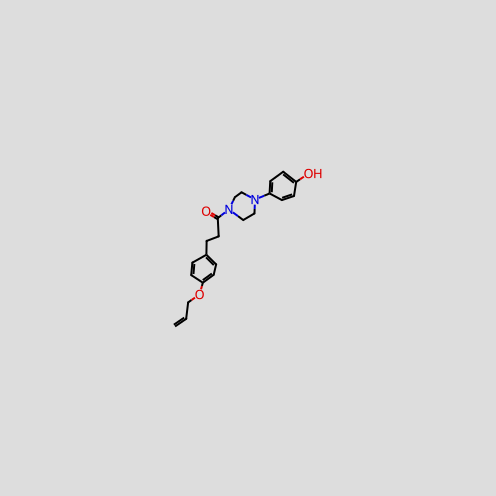 C=CCOc1ccc(CCC(=O)N2CCN(c3ccc(O)cc3)CC2)cc1